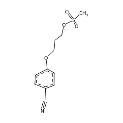 CS(=O)(=O)OCCCOc1ccc(C#N)cc1